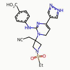 CCS(=O)(=O)N1CC(CC#N)(N2CC=C(c3cn[nH]c3)N=C2Nc2ccc(C(=O)O)cc2)C1